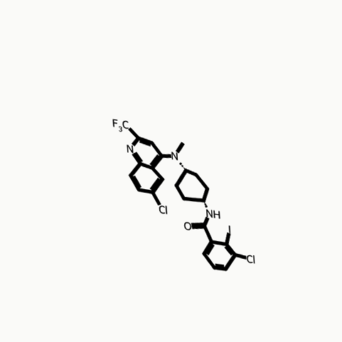 CN(c1cc(C(F)(F)F)nc2ccc(Cl)cc12)[C@H]1CC[C@@H](NC(=O)c2cccc(Cl)c2I)CC1